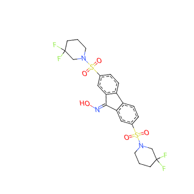 O=S(=O)(c1ccc2c(c1)C(=NO)c1cc(S(=O)(=O)N3CCCC(F)(F)C3)ccc1-2)N1CCCC(F)(F)C1